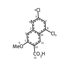 COc1cc2nc(Cl)cc(Cl)c2cc1C(=O)O